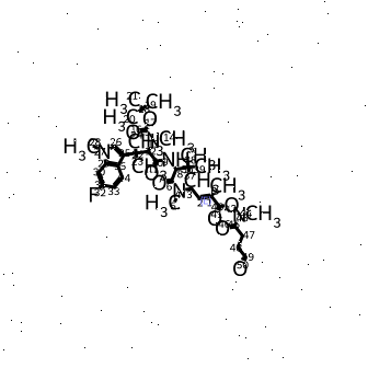 C/C(=C\CN(C)C(=O)C(NC(=O)C(N(C)C(=O)OC(C)(C)C)C(C)(C)c1cn(C)c2cc(F)ccc12)C(C)(C)C)C(=O)ON(C)C(=O)CCC=O